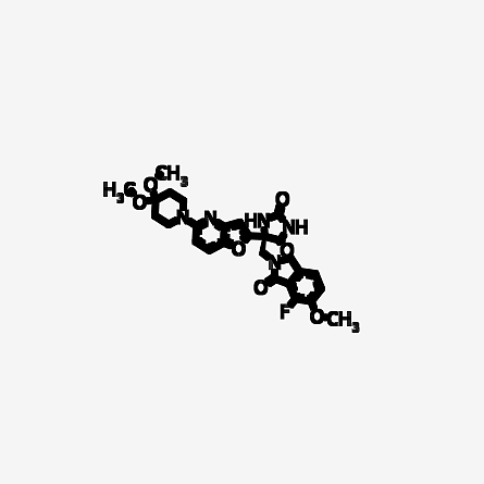 COc1ccc2c(c1F)C(=O)N(C[C@@]1(c3cc4nc(N5CCC(OC)(OC)CC5)ccc4o3)NC(=O)NC1=O)C2